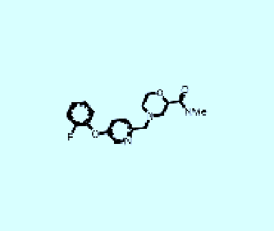 CNC(=O)C1CN(Cc2ccc(Oc3ccccc3F)cn2)CCO1